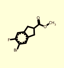 COC(=O)C1Cc2cc(F)c(Br)cc2C1